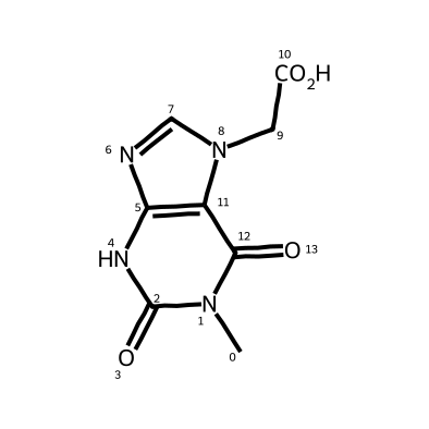 Cn1c(=O)[nH]c2ncn(CC(=O)O)c2c1=O